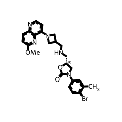 COc1ccc2nccc(N3CC(CNC[C@@H]4CN(c5ccc(Br)c(C)c5)C(=O)O4)C3)c2n1